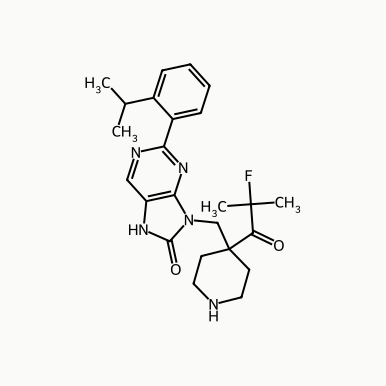 CC(C)c1ccccc1-c1ncc2[nH]c(=O)n(CC3(C(=O)C(C)(C)F)CCNCC3)c2n1